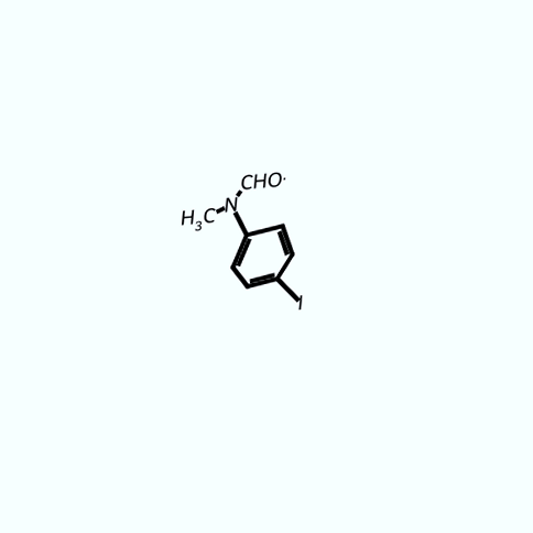 CN([C]=O)c1ccc(I)cc1